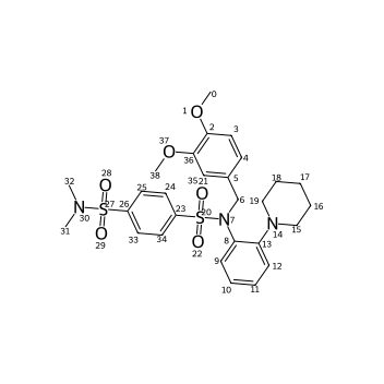 COc1ccc(CN(c2ccccc2N2CCCCC2)S(=O)(=O)c2ccc(S(=O)(=O)N(C)C)cc2)cc1OC